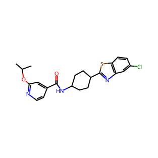 CC(C)Oc1cc(C(=O)NC2CCC(c3nc4cc(Cl)ccc4s3)CC2)ccn1